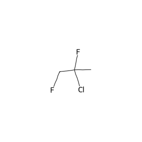 CC(F)(Cl)CF